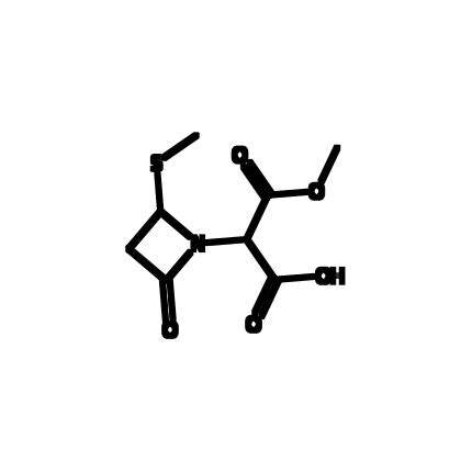 COC(=O)C(C(=O)O)N1C(=O)CC1SC